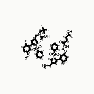 CNCc1cc(-c2cc(OC)ccc2F)n(S(=O)(=O)c2cccnc2)c1.COc1ccc(F)c(-c2cc(CN(CC(C)(C)C)C(=O)O)cn2S(=O)(=O)c2cccnc2)c1.O=C(O)C=CC(=O)O